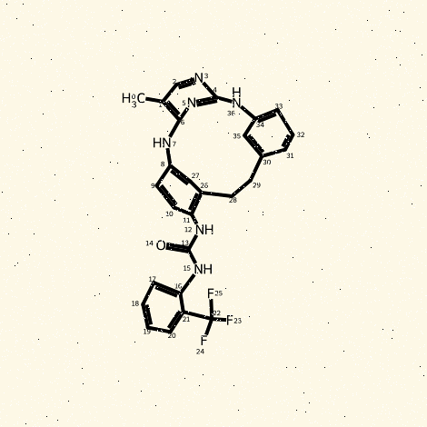 Cc1cnc2nc1Nc1ccc(NC(=O)Nc3ccccc3C(F)(F)F)c(c1)CCc1cccc(c1)N2